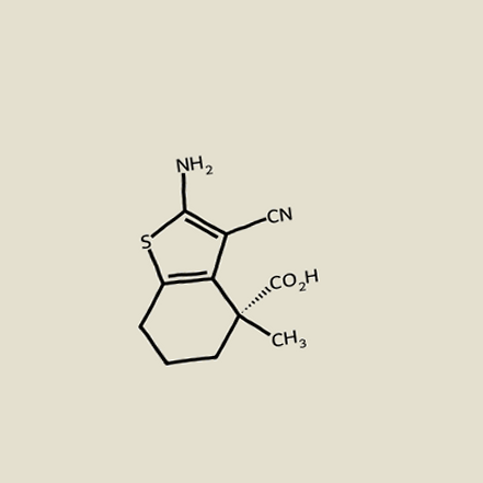 C[C@@]1(C(=O)O)CCCc2sc(N)c(C#N)c21